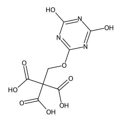 O=C(O)C(COc1nc(O)nc(O)n1)(C(=O)O)C(=O)O